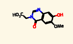 COc1cc2c(=O)n(CC(=O)O)cnc2cc1O